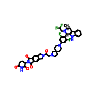 C[C@@H]1Cc2c([nH]c3ccccc23)[C@@H](c2c(F)cc(N3CCC4(CCN(CC(=O)N5Cc6cc7c(cc6C5)C(=O)N(C5CCC(=O)NC5=O)C7=O)C4)CC3)cc2F)N1CC(F)F